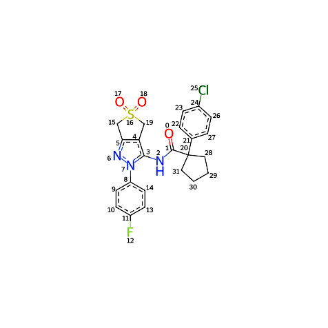 O=C(Nc1c2c(nn1-c1ccc(F)cc1)CS(=O)(=O)C2)C1(c2ccc(Cl)cc2)CCCC1